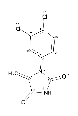 C=C1C(=O)NC(=O)N1c1ccc(Cl)c(Cl)c1